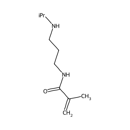 C=C(C)C(=O)NCCCNC(C)C